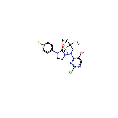 CC(C)(C)CN(c1nc(Cl)ncc1Br)N1CCN(c2ccc(F)cc2)C1=O